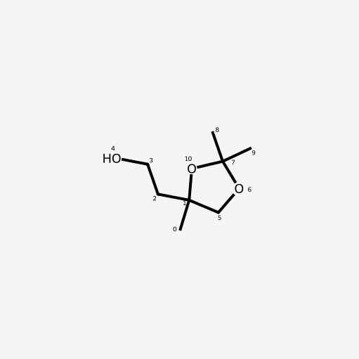 CC1(CCO)COC(C)(C)O1